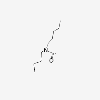 CCCCCN([C]=O)CCCC